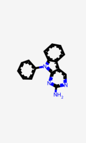 Nc1ncc2c3ccccc3n(-c3ccccc3)c2n1